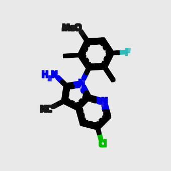 COc1cc(F)c(C)c(-n2c(N)c(C#N)c3cc(Cl)cnc32)c1C